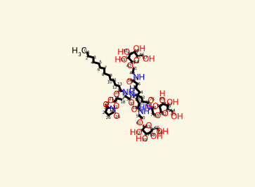 CCCCCCCCCCCCCCC(=O)N[C@@H](CCC(=O)ON1C(=O)CCC1=O)C(=O)NC(CCCC(=O)NCCO[C@H]1O[C@H](CO)[C@@H](O)[C@H](O)[C@@H]1O)(CCC(=O)NCCO[C@H]1O[C@H](CO)[C@@H](O)[C@H](O)[C@@H]1O)CCC(=O)NCCO[C@H]1O[C@H](CO)[C@@H](O)[C@H](O)[C@@H]1O